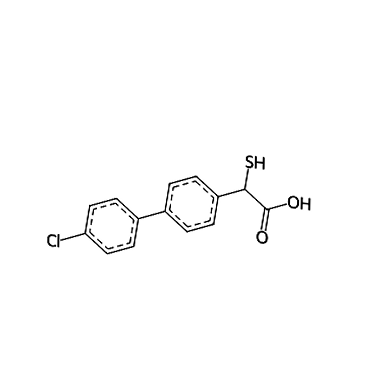 O=C(O)C(S)c1ccc(-c2ccc(Cl)cc2)cc1